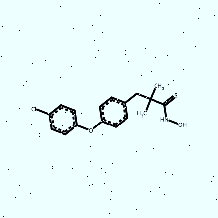 CC(C)(Cc1ccc(Oc2ccc(Cl)cc2)cc1)C(=S)NO